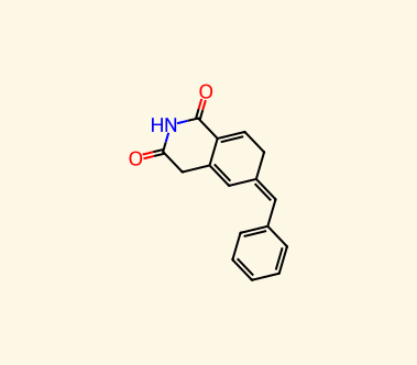 O=C1CC2=CC(=Cc3ccccc3)CC=C2C(=O)N1